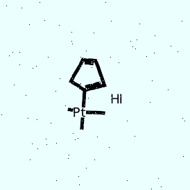 I.[CH3][Pt]([CH3])([CH3])[C]1=CC=CC1